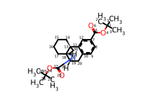 CC(C)(C)OC(=O)c1ccc2c(c1)[C@@]13CCCC[C@H]1[C@@H](C2)N(C(=O)OC(C)(C)C)CC3